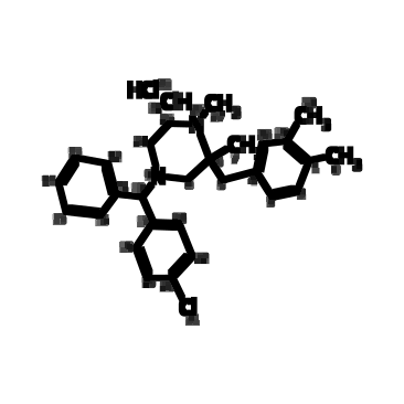 Cc1ccc(CC2(C)CN(C(c3ccccc3)c3ccc(Cl)cc3)CCN2C)cc1C.Cl.Cl